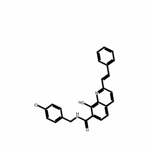 O=C(NCc1ccc(Cl)cc1)c1ccc2ccc(/C=C/c3ccccc3)nc2c1O